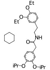 C1CCCCC1.CCOc1ccc(CCNC(=O)Cc2ccc(OC(C)C)c(OC(C)C)c2)cc1OCC